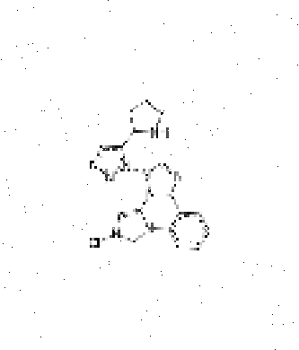 ClN1C=C2N(C1)c1ccccc1C1N=CN(n3nncc3C3CCCN3)N21